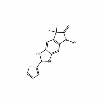 CCCN1C(=O)C(C)(C)c2cc3c(cc21)NC(c1cccs1)N3